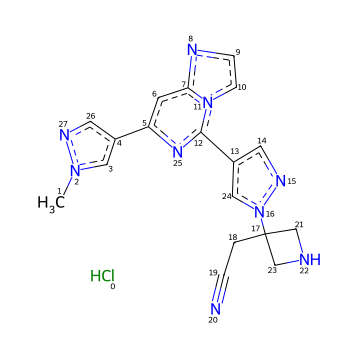 Cl.Cn1cc(-c2cc3nccn3c(-c3cnn(C4(CC#N)CNC4)c3)n2)cn1